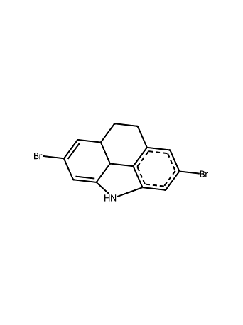 BrC1=CC2CCc3cc(Br)cc4c3C2C(=C1)N4